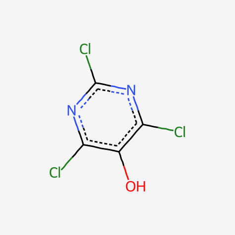 Oc1c(Cl)nc(Cl)nc1Cl